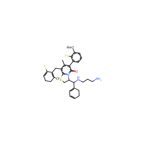 COc1cccc(-c2c(C)c(CC3=C(C(F)(F)F)CCC=C3F)c3n(c2=O)C(C(NCCCN)C2=CC=CCC2)CS3)c1F